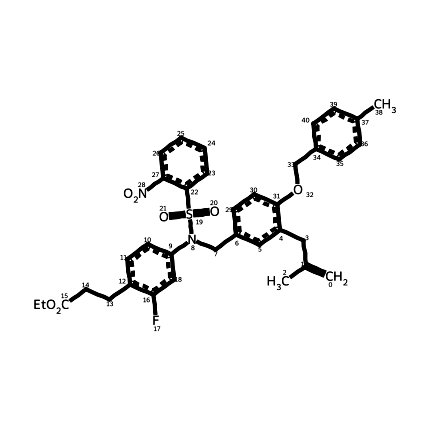 C=C(C)Cc1cc(CN(c2ccc(CCC(=O)OCC)c(F)c2)S(=O)(=O)c2ccccc2[N+](=O)[O-])ccc1OCc1ccc(C)cc1